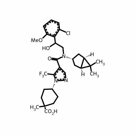 COc1cccc(Cl)c1C(O)CN(C(=O)c1cnn([C@H]2CC[C@](C)(C(=O)O)CC2)c1C(F)(F)F)[C@@H]1C[C@@H]2[C@H](C1)C2(C)C